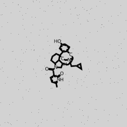 Cc1ccc(C(=O)N2C[C@H]3CCC4Cc5ccc(O)cc5C5(CCCC2C35)CCN4CC2CC2)c(=O)[nH]1